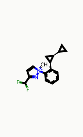 C[N+]1(c2ccccc2[C@H]2C[C@H]2C2CC2)C=CC(C(F)F)=N1